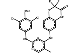 COc1c(Cl)cc(Nc2ncc(F)c(Nc3ccc4c(c3)NC(=O)C(F)(F)O4)n2)cc1Cl